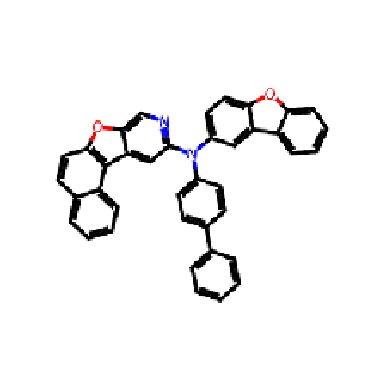 c1ccc(-c2ccc(N(c3ccc4oc5ccccc5c4c3)c3cc4c(cn3)oc3ccc5ccccc5c34)cc2)cc1